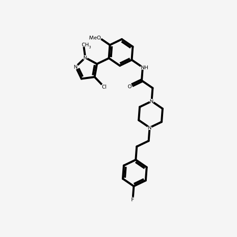 COc1ccc(NC(=O)CN2CCN(CCc3ccc(F)cc3)CC2)cc1-c1c(Cl)cnn1C